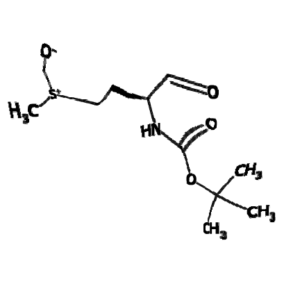 C[S+]([O-])CC[C@@H](C=O)NC(=O)OC(C)(C)C